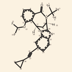 [2H]C([2H])([2H])N1C(=O)c2cccc(OC(F)F)c2[C@H]2C[C@@H]1c1nc3ccc(C#CC4CC4)cc3n12